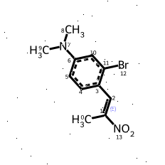 C/C(=C\c1ccc(N(C)C)cc1Br)[N+](=O)[O-]